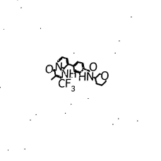 CC1=C(C(F)(F)F)NC2C(c3ccc(C(=O)NC4CCCOC4)cc3)=CC=CN2C1=O